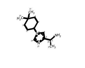 C[C@H](N)c1cn(C2CCC(C)(C)CC2)cn1